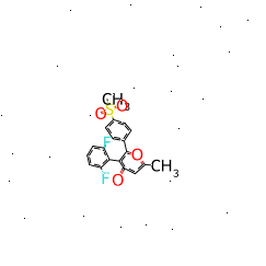 Cc1cc(=O)c(-c2c(F)cccc2F)c(-c2ccc(S(C)(=O)=O)cc2)o1